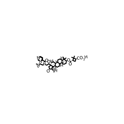 CC(C)C1=C2[C@H]3CC[C@@H]4[C@@]5(C)CC[C@H](OC(=O)[C@H]6C[C@@H](C(=O)O)C6(C)C)C(C)(C)[C@@H]5CC[C@@]4(C)[C@]3(C)CC[C@@]2([C@@H](O)CN(CCN(C)C)C(=O)c2ccncn2)CC1=O